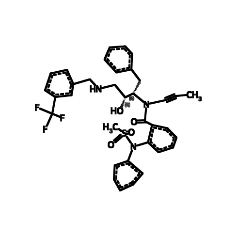 CC#CN(C(=O)c1ccccc1N(c1ccccc1)S(C)(=O)=O)[C@@H](Cc1ccccc1)[C@H](O)CNCc1cccc(C(F)(F)F)c1